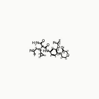 NC(=O)[C@@H](C(=O)Nc1ccc(N2CCOCC2=O)c(OC(F)F)c1)N(CC(F)F)C1CC1